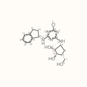 OC[C@H]1C[C@@H](Nc2nc(Cl)nc(N[C@H]3CCc4ccccc43)n2)[C@H](O)[C@@H]1O